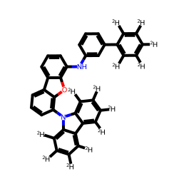 [2H]c1c([2H])c([2H])c(-c2cccc(Nc3cccc4c3oc3c(-n5c6c([2H])c([2H])c([2H])c([2H])c6c6c([2H])c([2H])c([2H])c([2H])c65)cccc34)c2)c([2H])c1[2H]